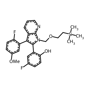 COc1ccc(F)c(-c2c(-c3cc(F)ccc3O)n(COCC[Si](C)(C)C)c3ncccc23)c1